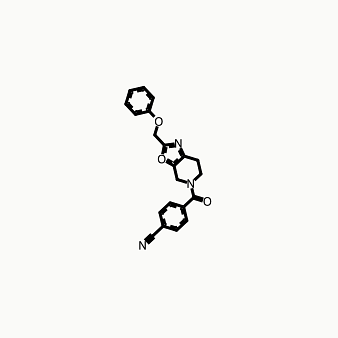 N#Cc1ccc(C(=O)N2CCc3nc(COc4ccccc4)oc3C2)cc1